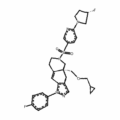 O=S(=O)(c1ccc(N2CC[C@H](F)C2)nc1)N1CCC2=Cc3c(cnn3-c3ccc(F)cc3)C[C@]2(COCC2CC2)C1